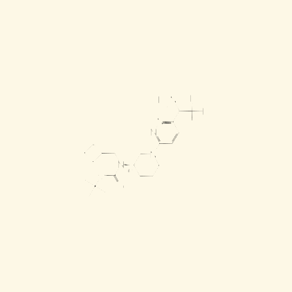 CC(C)(C)OC(=O)N(CC1CCC1)[C@@H]1CCCN(c2ccc(C(N)C(F)(F)F)nn2)C1